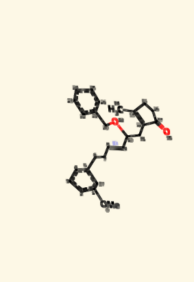 COc1cccc(CC/C=C/C(CC2=C(C)CCC2=O)OCc2ccccc2)c1